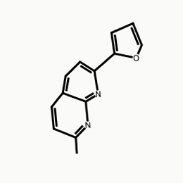 Cc1ccc2ccc(-c3ccco3)nc2n1